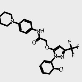 O=C(COc1cc(C(F)(F)F)nn1C1=CC=CCC1Cl)Nc1ccc(N2CCCCC2)cc1